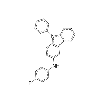 Fc1ccc(Nc2ccc3c(c2)c2ccccc2n3-c2ccccc2)cc1